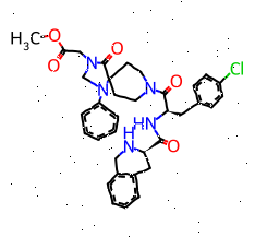 COC(=O)CN1CN(c2ccccc2)C2(CCN(C(=O)[C@@H](Cc3ccc(Cl)cc3)NC(=O)[C@H]3Cc4ccccc4CN3)CC2)C1=O